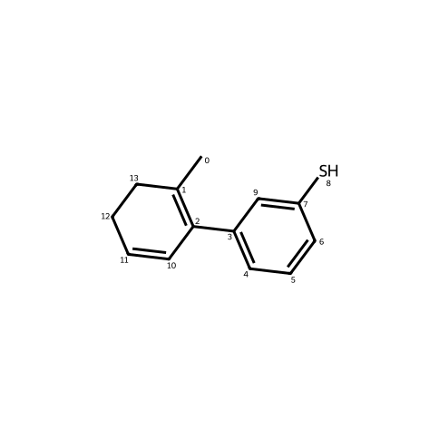 CC1=C(c2cccc(S)c2)C=CCC1